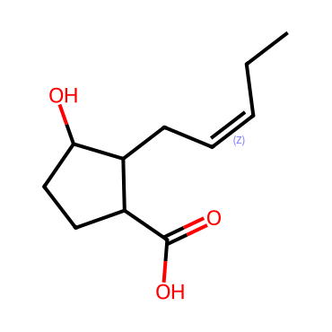 CC/C=C\CC1C(O)CCC1C(=O)O